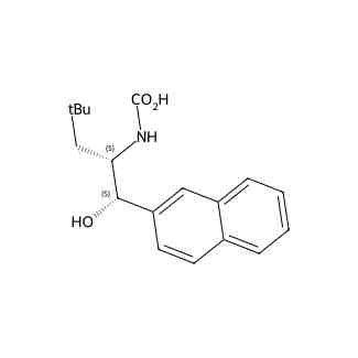 CC(C)(C)C[C@H](NC(=O)O)[C@@H](O)c1ccc2ccccc2c1